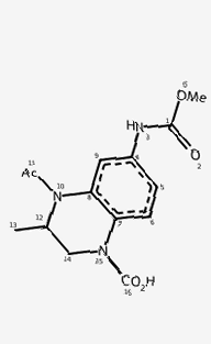 COC(=O)Nc1ccc2c(c1)N(C(C)=O)C(C)CN2C(=O)O